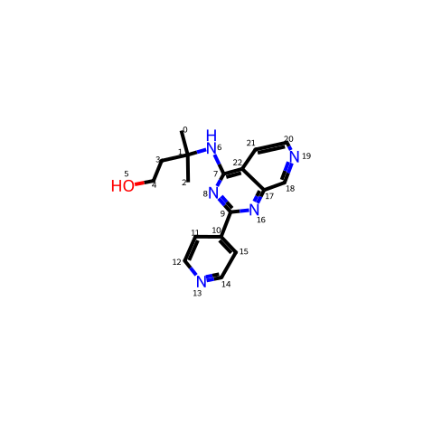 CC(C)(CCO)Nc1nc(-c2ccncc2)nc2cnccc12